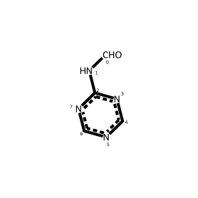 O=CNc1ncncn1